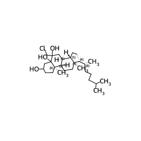 CC(C)CCC[C@@H](C)[C@H]1CC[C@H]2[C@@H]3CC(O)(CCl)C4(O)CC(O)CC[C@]4(C)[C@H]3CC[C@]12C